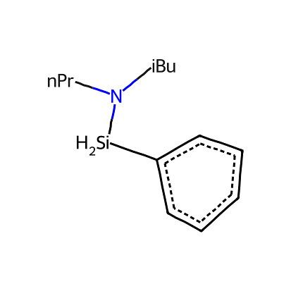 CCCN([SiH2]c1ccccc1)C(C)CC